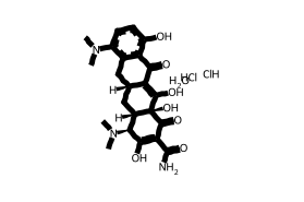 CN(C)c1ccc(O)c2c1C[C@H]1C[C@H]3[C@H](N(C)C)C(O)=C(C(N)=O)C(=O)[C@@]3(O)C(O)=C1C2=O.Cl.Cl.O